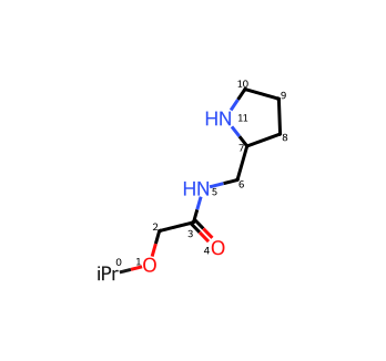 CC(C)OCC(=O)NCC1CCCN1